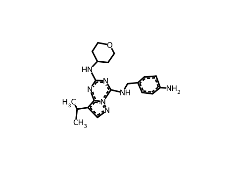 CC(C)c1cnn2c(NCc3ccc(N)cc3)nc(NC3CCOCC3)nc12